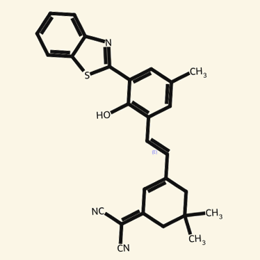 Cc1cc(/C=C/C2=CC(=C(C#N)C#N)CC(C)(C)C2)c(O)c(-c2nc3ccccc3s2)c1